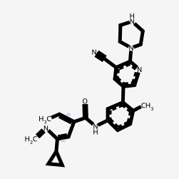 C=N/C(=C\C(=C/C)C(=O)Nc1ccc(C)c(-c2cnc(N3CCNCC3)c(C#N)c2)c1)C1CC1